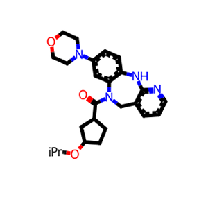 CC(C)OC1CCC(C(=O)N2Cc3cccnc3Nc3ccc(N4CCOCC4)cc32)C1